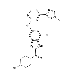 Cn1cnc(-c2ccnc(Nc3cc(Cl)c4[nH]c(C(=O)N5CCC(C#N)CC5)cc4c3)n2)c1